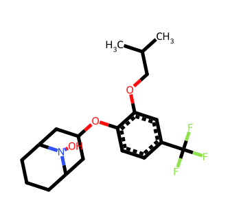 CC(C)COc1cc(C(F)(F)F)ccc1OC1CC2CCCC(C1)N2O